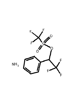 N.O=S(=O)(OC(c1ccccc1)C(F)(F)F)C(F)(F)F